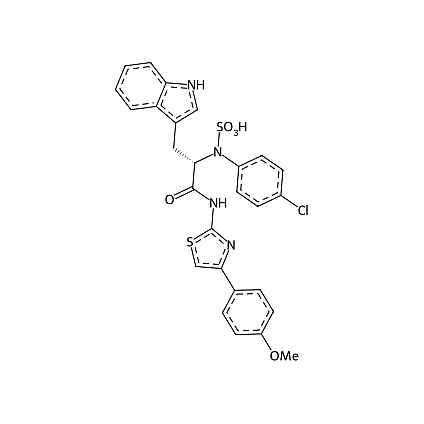 COc1ccc(-c2csc(NC(=O)[C@H](Cc3c[nH]c4ccccc34)N(c3ccc(Cl)cc3)S(=O)(=O)O)n2)cc1